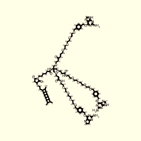 CC1C(C)C2C1C1C2C2C3C(CCSC4CC(=O)N(CCCCCC(=O)NC(COCCC(=O)CCCOCCOCCOCCOCc5ccc(COc6nc(N)nc7[nH]cnc67)cc5)(COCCC(=O)NCCOCCOCCOCCOCc5ccc(COc6nc(N)nc7c6N=CC7)cc5)COCCC(=O)NCCOCCOCCOCCOCc5ccc(COc6nc(N)nc7[nH]cnc67)cc5)C4=O)C(C)C3C12